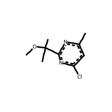 COC(C)(C)c1nc(C)cc(Cl)n1